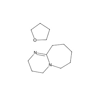 C1CCC2=NCCCN2CC1.C1CCOC1